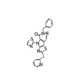 O=c1c2c(cnn1Cc1ccccc1)c1sc(Cc3ccccn3)nc1n2-c1nccs1